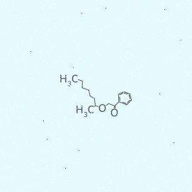 CCCCCCC(C)OCC(=O)c1ccccc1